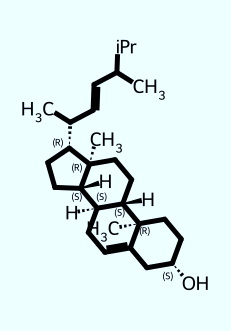 CC(C)C(C)C=CC(C)[C@H]1CC[C@H]2[C@@H]3CC=C4C[C@@H](O)CC[C@]4(C)[C@H]3CC[C@]12C